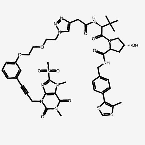 Cc1ncsc1-c1ccc(CNC(=O)C2C[C@@H](O)CN2C(=O)[C@@H](NC(=O)Cc2cn(CCOCCOc3cccc(C#CCn4c(=O)n(C)c(=O)c5c4nc(S(C)(=O)=O)n5C)c3)nn2)C(C)(C)C)cc1